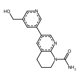 NC(=O)N1CCCc2cc(-c3cncc(CO)c3)cnc21